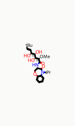 CO[C@@H](C(=O)N[C@H]1COc2ccccc2N(C(C)C)C1=O)[C@H](O)[C@@H](O)[C@H](O)C=CC(C)(C)C